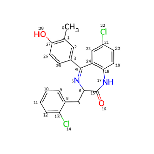 Cc1cc(C2=NC(Cc3ccccc3Cl)C(=O)Nc3ccc(Cl)cc32)ccc1O